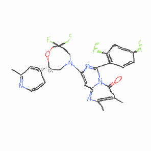 Cc1cc([C@H]2CN(c3cc4nc(C)c(C)c(=O)n4c(-c4ccc(F)cc4F)n3)CC(F)(F)O2)ccn1